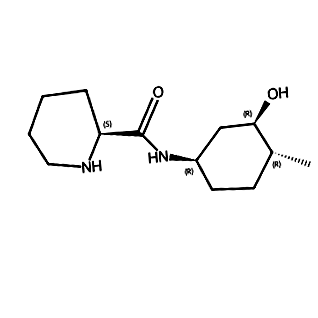 C[C@@H]1CC[C@@H](NC(=O)[C@@H]2CCCCN2)C[C@H]1O